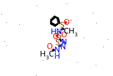 CC(=O)Nc1nnc(S(=O)(=O)NC(C)[S+]([O-])c2ccccc2)s1